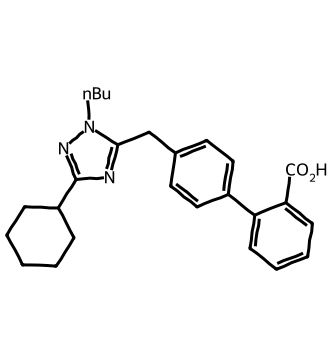 CCCCn1nc(C2CCCCC2)nc1Cc1ccc(-c2ccccc2C(=O)O)cc1